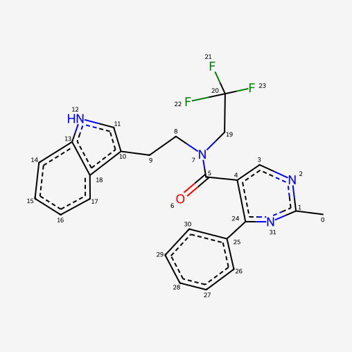 Cc1ncc(C(=O)N(CCc2c[nH]c3ccccc23)CC(F)(F)F)c(-c2ccccc2)n1